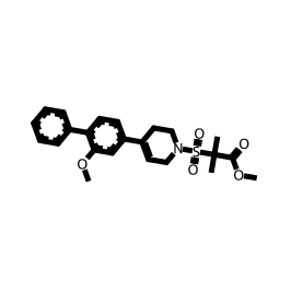 COC(=O)C(C)(C)S(=O)(=O)N1CC=C(c2ccc(-c3ccccc3)c(OC)c2)CC1